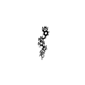 COP(C)(=O)Cn1cnc(-c2cnc3nnc(Cc4ccc5ncncc5c4)n3n2)c1